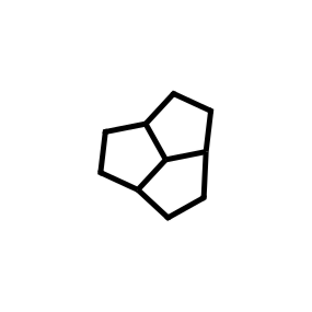 C1CC2CCC3CCC1C23